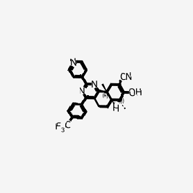 C[C@H]1C(O)=C(C#N)C[C@@]2(C)c3nc(-c4ccncc4)nc(-c4ccc(C(F)(F)F)cc4)c3CC[C@H]12